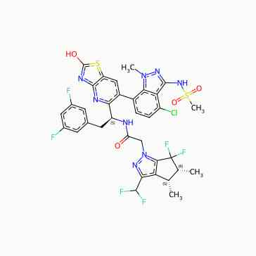 C[C@@H]1c2c(C(F)F)nn(CC(=O)N[C@@H](Cc3cc(F)cc(F)c3)c3nc4nc(O)sc4cc3-c3ccc(Cl)c4c(NS(C)(=O)=O)nn(C)c34)c2C(F)(F)[C@@H]1C